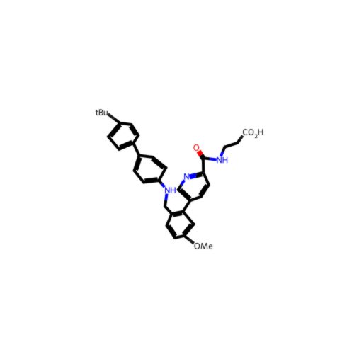 COc1ccc(CNc2ccc(-c3ccc(C(C)(C)C)cc3)cc2)c(-c2ccc(C(=O)NCCC(=O)O)nc2)c1